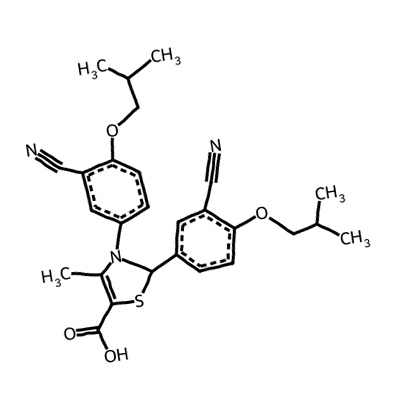 CC1=C(C(=O)O)SC(c2ccc(OCC(C)C)c(C#N)c2)N1c1ccc(OCC(C)C)c(C#N)c1